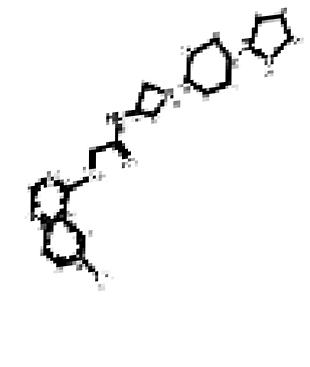 O=C(CNc1ncnc2ccc(C(F)(F)F)cc12)NC1CN([C@H]2CC[C@@H](C3CCCO3)CC2)C1